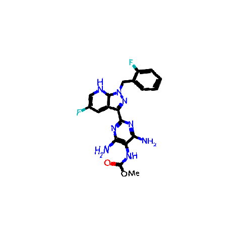 COC(=O)Nc1c(N)nc(C2=NN(Cc3ccccc3F)C3NC=C(F)C=C23)nc1N